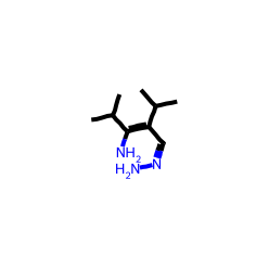 CC(C)/C(N)=C(/C=N\N)C(C)C